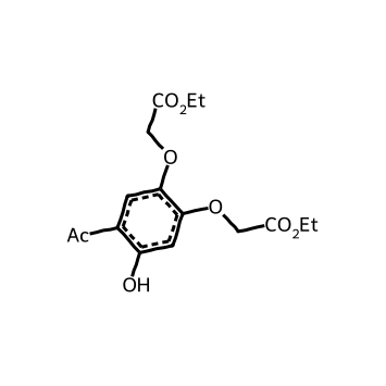 CCOC(=O)COc1cc(O)c(C(C)=O)cc1OCC(=O)OCC